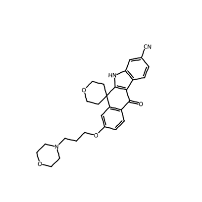 N#Cc1ccc2c3c([nH]c2c1)C1(CCOCC1)c1cc(OCCCN2CCOCC2)ccc1C3=O